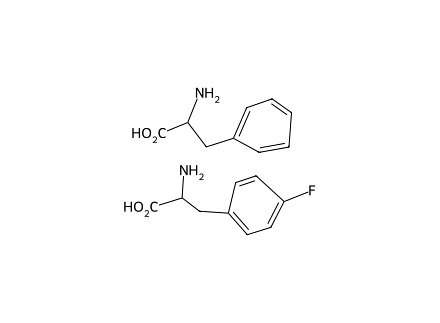 NC(Cc1ccc(F)cc1)C(=O)O.NC(Cc1ccccc1)C(=O)O